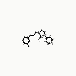 Cc1cccc(C=CCN2CCN(c3ccncc3)C2=O)c1